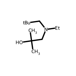 CCN(CC(C)(C)C)CC(C)(C)O